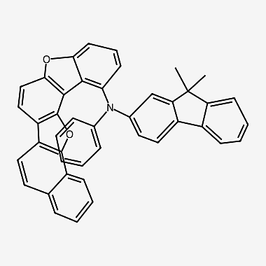 CC1(C)c2ccccc2-c2ccc(N(c3ccccc3)c3cccc4oc5ccc6c7ccc8ccccc8c7oc6c5c34)cc21